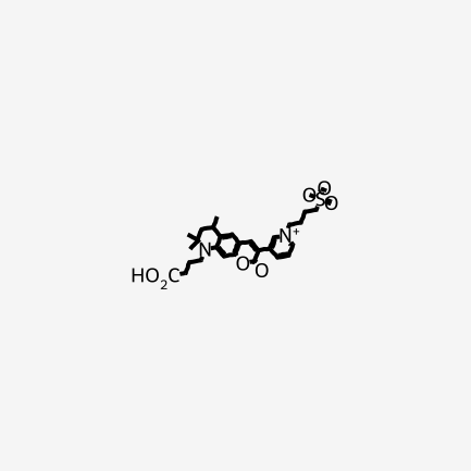 CC1CC(C)(C)N(CCCC(=O)O)c2cc3oc(=O)c(-c4ccc[n+](CCCCS(=O)(=O)[O-])c4)cc3cc21